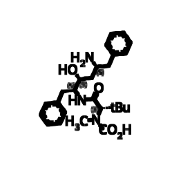 CN(C(=O)O)[C@H](C(=O)N[C@@H](Cc1ccccc1)[C@@H](O)C[C@@H](N)Cc1ccccc1)C(C)(C)C